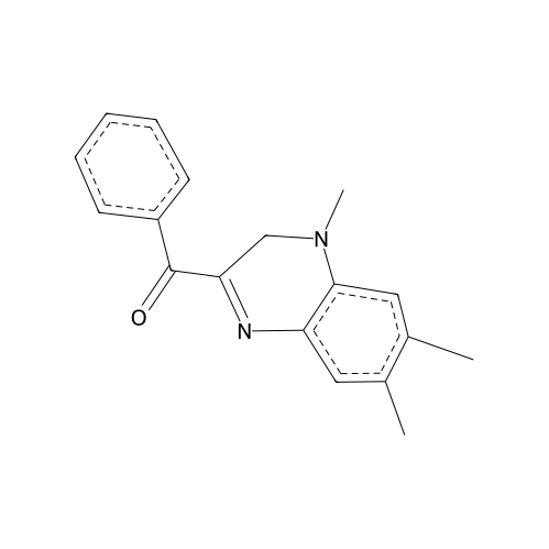 Cc1cc2c(cc1C)N(C)CC(C(=O)c1ccccc1)=N2